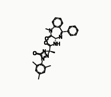 Cc1cc(C)c(-n2c(=O)n3n2[C@@]3(C)C(=O)N[C@H]2N=C(c3ccccc3)c3ccccc3N(C)C2=O)c(C)c1